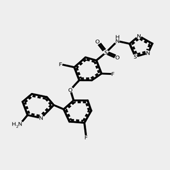 Nc1cccc(-c2cc(F)ccc2Oc2cc(F)c(S(=O)(=O)Nc3ncns3)cc2F)n1